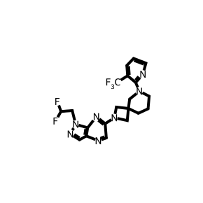 FC(F)Cn1ncc2ncc(N3CC4(CCCN(c5ncccc5C(F)(F)F)C4)C3)nc21